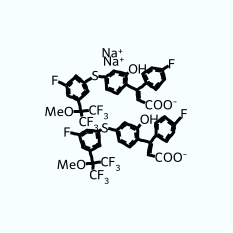 COC(c1cc(F)cc(Sc2ccc(C(=CC(=O)[O-])c3ccc(F)cc3)c(O)c2)c1)(C(F)(F)F)C(F)(F)F.COC(c1cc(F)cc(Sc2ccc(C(=CC(=O)[O-])c3ccc(F)cc3)c(O)c2)c1)(C(F)(F)F)C(F)(F)F.[Na+].[Na+]